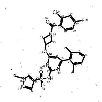 Cc1cccc(C)c1-c1cc(OC2CN(C(=O)c3ccc(F)cc3Cl)C2)nc(NS(=O)(=O)c2cnn(C)c2)n1